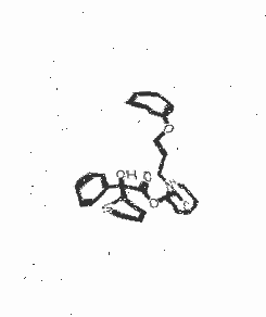 O=C(OC1CC2CC[N+]1(CCCOc1ccccc1)CC2)C(O)(c1ccccc1)c1cccs1